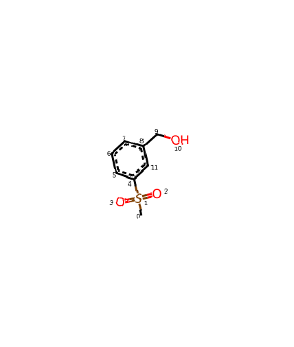 CS(=O)(=O)c1cccc(CO)c1